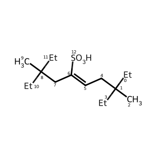 CCC(C)(CC)C/C=C(/CC(C)(CC)CC)S(=O)(=O)O